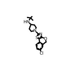 CC(C)(C)NC1CCN(c2nc3c(s2)-c2ccc(Cl)cc2CO3)CC1